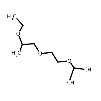 CCOC(C)COCCOC(C)C